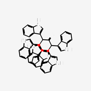 O=C(C(c1c[nH]c2ccccc12)C(c1c[nH]c2ccccc12)c1c[nH]c2ccccc12)C(c1c[nH]c2ccccc12)C(c1c[nH]c2ccccc12)c1c[nH]c2ccccc12